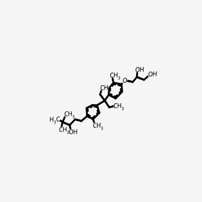 CCC(CC)(c1ccc(CCC(O)C(C)(C)C)c(C)c1)c1ccc(OCC(O)CO)c(C)c1